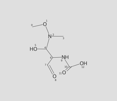 CON(C)C(O)C(C=O)NC(=O)O